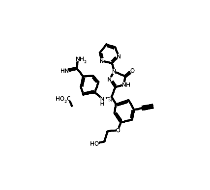 C#Cc1cc(OCCO)cc([C@H](Nc2ccc(C(=N)N)cc2)c2nn(-c3ncccn3)c(=O)[nH]2)c1.CC(=O)O